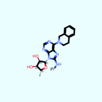 CC(C)Nc1nc2c(N3CCc4ccccc4C3)ncnc2n1[C@@H]1O[C@H](C)[C@@H](O)[C@H]1O